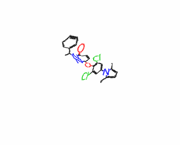 Cc1ccc(C)n1-c1cc(Cl)c(Oc2ccc(=O)n(C(C)c3ccccc3)n2)c(Cl)c1